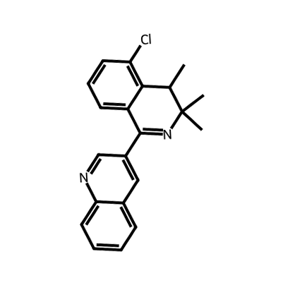 CC1c2c(Cl)cccc2C(c2cnc3ccccc3c2)=NC1(C)C